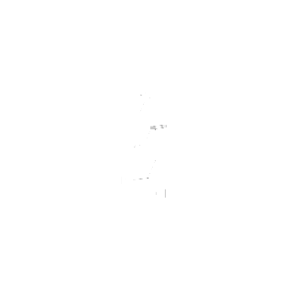 CC(O)COC(=O)CS